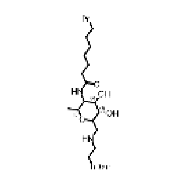 CCCCCCCCCCCCNCC1O[C@@H](C)C(NC(=O)CCCCCCC(C)C)[C@@H](O)[C@@H]1O